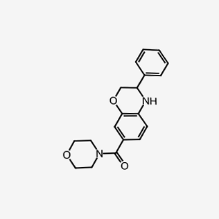 O=C(c1ccc2c(c1)OCC(c1ccccc1)N2)N1CCOCC1